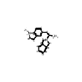 CC(Cc1ccc2c(c1)CCN2C(C)C)N1Cc2ccccc2C1